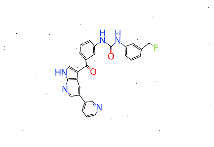 O=C(Nc1cccc(CF)c1)Nc1cccc(C(=O)c2c[nH]c3ncc(-c4cccnc4)cc23)c1